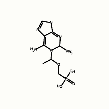 CC(OCP(=O)(O)O)N1C(N)=C2N=C[N]C2=NC1N